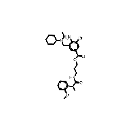 CCN(Cc1cc(C(=O)OCCCNC(=O)C(C)c2ccccc2OC)cc(Br)c1N)C1CCCCC1